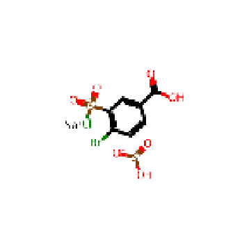 O=C(O)c1ccc(Br)c(S(=O)(=O)Cl)c1.O=S([O-])O.[Na+]